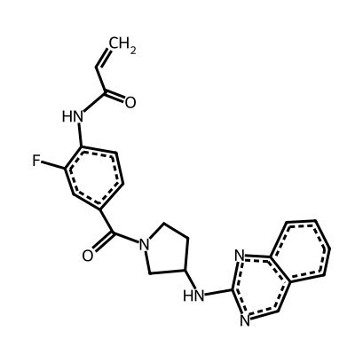 C=CC(=O)Nc1ccc(C(=O)N2CCC(Nc3ncc4ccccc4n3)C2)cc1F